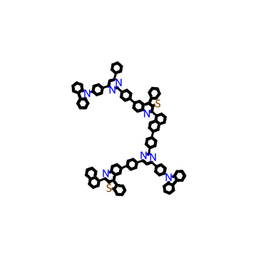 c1ccc(-c2cc(-c3ccc(-n4c5ccccc5c5ccccc54)cc3)nc(-c3ccc(-c4ccc5nc(-c6cccc7cc(-c8ccc(-c9nc(-c%10ccc(-c%11ccc%12nc(-c%13cccc%14ccccc%13%14)c%13sc%14ccccc%14c%13c%12c%11)cc%10)cc(-c%10ccc(-n%11c%12ccccc%12c%12ccccc%12%11)cc%10)n9)cc8)ccc67)c6sc7ccccc7c6c5c4)cc3)n2)cc1